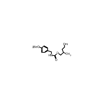 COc1ccc(CNC(=O)OCC(C)CCO)cc1